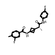 Cc1ccc(C(=O)NC23CC([C@@H](C)C(=O)Nc4ccc(F)cc4)(C2)C3)cc1F